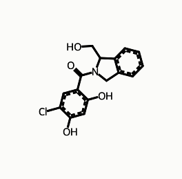 O=C(c1cc(Cl)c(O)cc1O)N1Cc2ccccc2C1CO